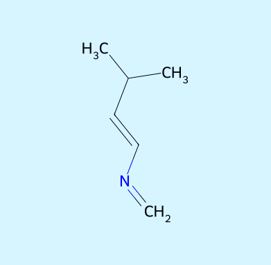 C=NC=CC(C)C